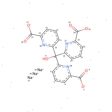 O=C([O-])c1cccc(C(O)(c2cccc(C(=O)[O-])n2)c2cccc(C(=O)[O-])n2)n1.[Na+].[Na+].[Na+]